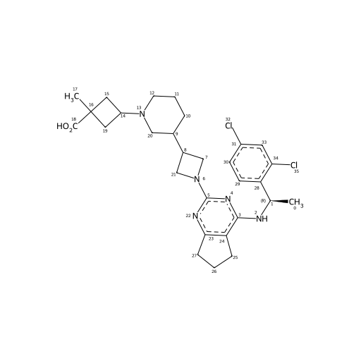 C[C@@H](Nc1nc(N2CC(C3CCCN(C4CC(C)(C(=O)O)C4)C3)C2)nc2c1CCC2)c1ccc(Cl)cc1Cl